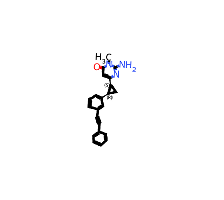 Cn1c(N)nc([C@H]2C[C@H]2c2cccc(C#Cc3ccccc3)c2)cc1=O